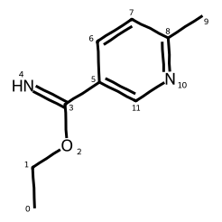 CCOC(=N)c1ccc(C)nc1